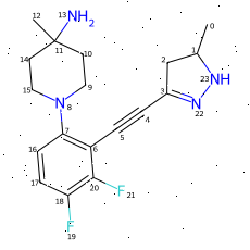 CC1CC(C#Cc2c(N3CCC(C)(N)CC3)ccc(F)c2F)=NN1